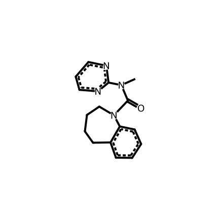 CN(C(=O)N1CCCCc2ccccc21)c1ncccn1